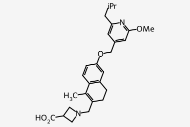 COc1cc(COc2ccc3c(c2)CCC(CN2CC(C(=O)O)C2)=C3C)cc(CC(C)C)n1